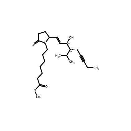 CCC#CC[C@H](C(C)C)[C@H](O)C=CC1CCC(=O)N1CCCCCCC(=O)OC